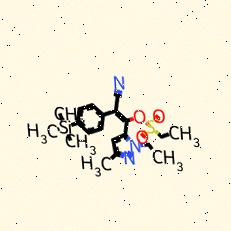 CCn1nc(C)cc1/C(OS(=O)(=O)CC)=C(/C#N)c1ccc([Si](C)(C)C)cc1